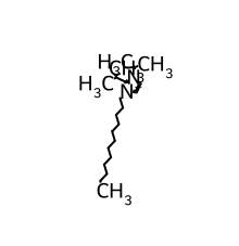 CCCCCCCCCCCC[n+]1ccn(C(C)C)c1C(C)C